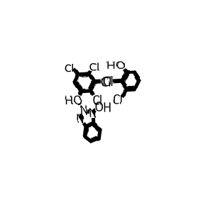 Oc1cc(Cl)c(Cl)c(Cl)c1Cl.Oc1cccc(Cl)c1Cl.On1nnc2ccccc21